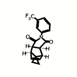 O=C1[C@@H]2[C@H](C(=O)N1c1cccc(C(F)(F)F)c1)[C@@H]1C=C[C@H]2C12CC2